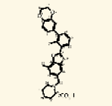 Cc1c(-c2ccc3c(c2)OCCO3)cccc1-c1nc2cc(CN3CCCC[C@H]3C(=O)O)cc(C)c2o1